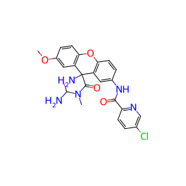 COc1ccc2c(c1)C(N)(C(=O)N(C)C(N)I)c1cc(NC(=O)c3ccc(Cl)cn3)ccc1O2